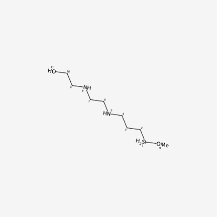 CO[SiH2]CCCNCCNCCO